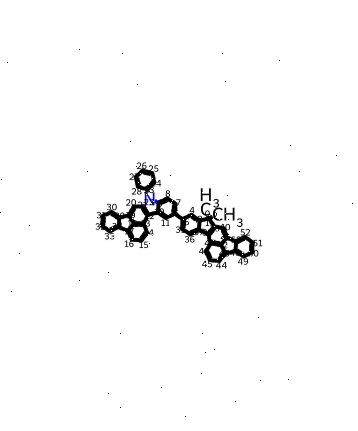 CC1(C)c2cc(-c3ccc4c(c3)c3c5cccc6c5c(cc3n4-c3ccccc3)-c3ccccc3-6)ccc2-c2c1cc1c3c(cccc23)-c2ccccc2-1